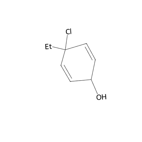 CCC1(Cl)C=CC(O)C=C1